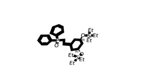 CC[Si](CC)(CC)O[C@@H]1CC(=CCP(=O)(c2ccccc2)c2ccccc2)C[C@@H](O[Si](CC)(CC)CC)C1